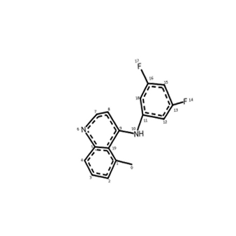 Cc1cccc2nccc(Nc3cc(F)cc(F)c3)c12